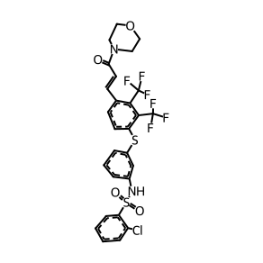 O=C(C=Cc1ccc(Sc2cccc(NS(=O)(=O)c3ccccc3Cl)c2)c(C(F)(F)F)c1C(F)(F)F)N1CCOCC1